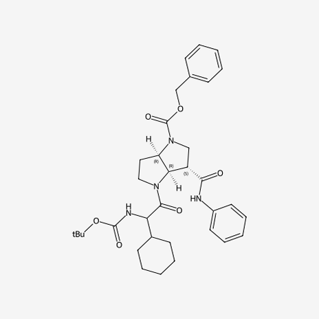 CC(C)(C)OC(=O)NC(C(=O)N1CC[C@@H]2[C@H]1[C@@H](C(=O)Nc1ccccc1)CN2C(=O)OCc1ccccc1)C1CCCCC1